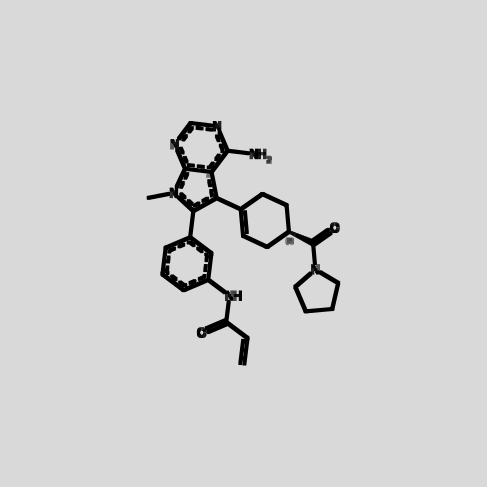 C=CC(=O)Nc1cccc(-c2c(C3=CC[C@H](C(=O)N4CCCC4)CC3)c3c(N)ncnc3n2C)c1